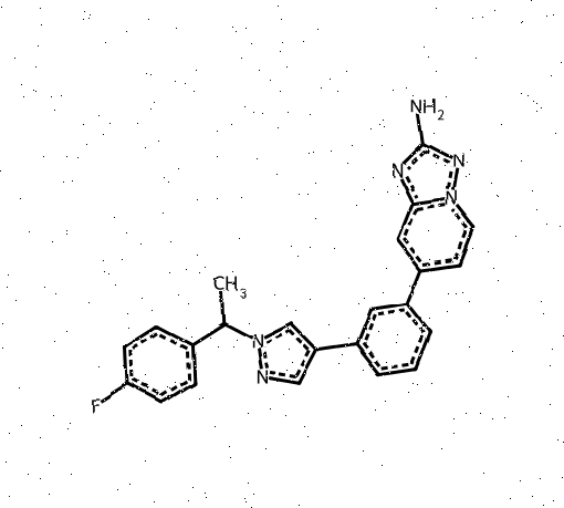 CC(c1ccc(F)cc1)n1cc(-c2cccc(-c3ccn4nc(N)nc4c3)c2)cn1